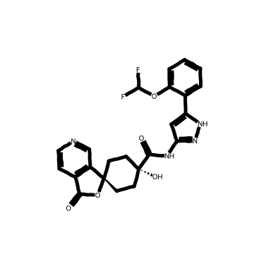 O=C1O[C@]2(CC[C@](O)(C(=O)Nc3cc(-c4ccccc4OC(F)F)[nH]n3)CC2)c2cnccc21